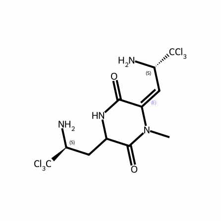 CN1C(=O)C(C[C@H](N)C(Cl)(Cl)Cl)NC(=O)/C1=C\[C@H](N)C(Cl)(Cl)Cl